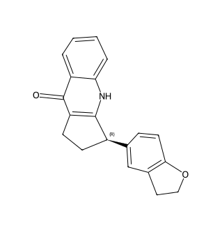 O=c1c2c([nH]c3ccccc13)[C@@H](c1ccc3c(c1)CCO3)CC2